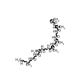 CNCCCN(C)CCCNC(=O)CCNC(=O)c1nc(NC(=O)CCNC(=O)c2cc(NC(=O)c3nc(NC(=O)CCNC(=O)c4cc(NC(=O)c5nccn5C)cn4C)cn3C)cn2C)cn1C